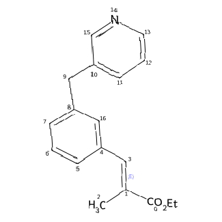 CCOC(=O)/C(C)=C/c1cccc(Cc2cccnc2)c1